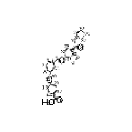 Cc1c(OCc2cccc(COc3ccc(C(=O)O)cc3)c2)ccc(C(=O)CC2CCCC2)c1C